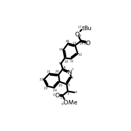 COC(=O)C(C)c1cnc(Cc2ccc(C(=O)OC(C)(C)C)cc2)c2ccccc12